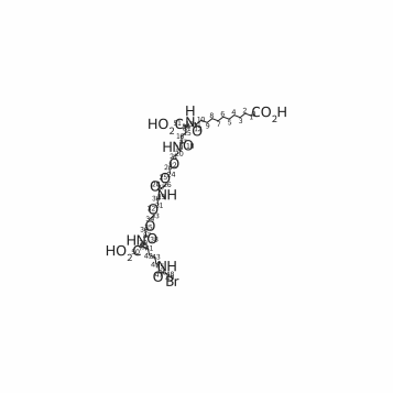 O=C(O)CCCCCCCCCCC(=O)N[C@@H](CCC(=O)NCCOCCOCC(=O)NCCOCCOCC(=O)N[C@@H](CCCCNC(=O)CBr)C(=O)O)C(=O)O